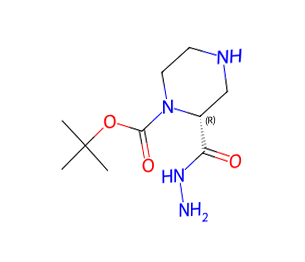 CC(C)(C)OC(=O)N1CCNC[C@@H]1C(=O)NN